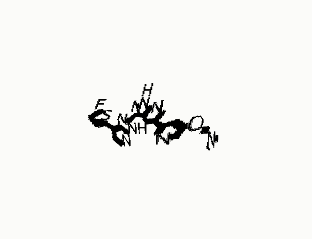 CN(C)CCOc1cncc(-c2cnc3[nH]nc(-c4nc5c(-c6ccc(F)s6)ccnc5[nH]4)c3c2)c1